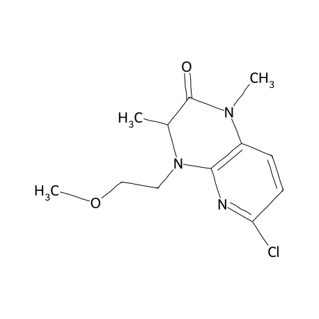 COCCN1c2nc(Cl)ccc2N(C)C(=O)C1C